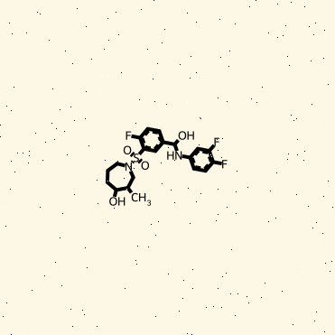 CC1CN(S(=O)(=O)c2cc(C(O)Nc3ccc(F)c(F)c3)ccc2F)CCCC1O